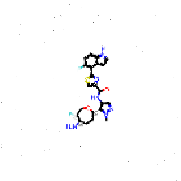 Cn1ncc(NC(=O)c2csc(-c3c(F)ccc4[nH]ccc34)n2)c1[C@@H]1CC[C@@H](N)[C@H](F)CO1